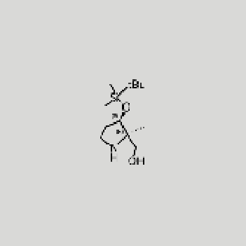 CC(C)(C)[Si](C)(C)O[C@@H]1CCN[C@]1(C)CO